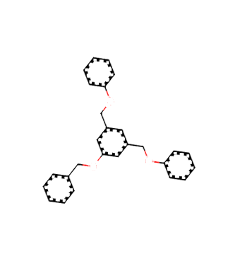 c1ccc(COc2cc(COc3ccccc3)cc(COc3ccccc3)c2)cc1